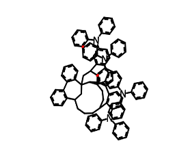 c1ccc(N(c2ccccc2)c2ccc3c(c2)C2CC4(CCC5CCCC6CC(C2)(c2ccccc2-c2ccccc26)C4c2cc(N(c4ccccc4)c4ccccc4)ccc2-c2cccc(N(c4ccccc4)c4ccccc4)c25)c2cc(N(c4ccccc4)c4ccccc4)ccc2-3)cc1